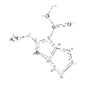 COC(=O)c1c(CN)[nH]c2ccccc12